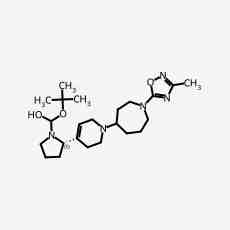 Cc1noc(N2CCCC(N3CC=C([C@@H]4CCCN4C(O)OC(C)(C)C)CC3)CC2)n1